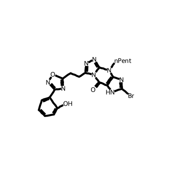 CCCCCn1c2nc(Br)[nH]c2c(=O)n2c(CCc3nc(-c4ccccc4O)no3)nnc12